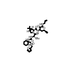 C#CCCC(NC(=O)[C@@H]1[C@@H]2[C@H](CN1C(=O)[C@@H](NC(=O)NC1(CS(=O)(=O)Cc3ccco3)CCCCC1)C(C)(C)C)C2(C)C)C(=O)C(=O)NCC=C